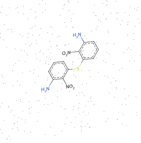 Nc1cccc(Sc2cccc(N)c2[N+](=O)[O-])c1[N+](=O)[O-]